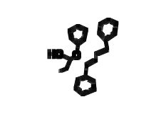 C(/C=C/c1ccccc1)=C\c1ccccc1.CCC(O)Oc1ccccc1